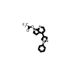 O=C(On1ccc2c(-c3cnn(-c4ccccc4)c3)ccnc21)C(F)(F)F